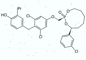 CC(C)c1cc(Cc2c(Cl)cc(OC[P@@]3(=O)OCCCCC[C@@H](c4cccc(Cl)c4)O3)cc2Cl)ccc1O